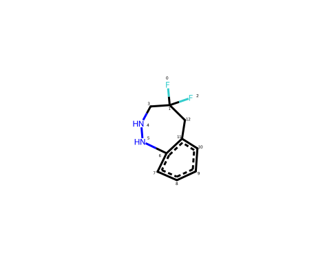 FC1(F)CNNc2ccccc2C1